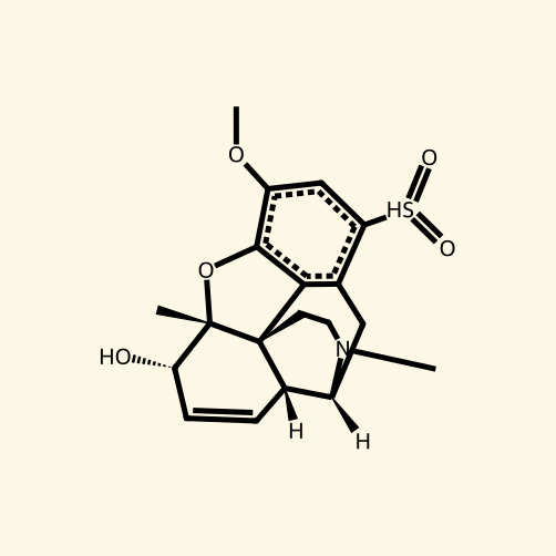 COc1cc([SH](=O)=O)c2c3c1O[C@@]1(C)[C@@H](O)C=C[C@H]4[C@@H](C2)N(C)CC[C@@]341